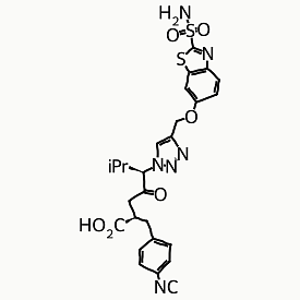 [C-]#[N+]c1ccc(C[C@H](CC(=O)[C@@H](C(C)C)n2cc(COc3ccc4nc(S(N)(=O)=O)sc4c3)nn2)C(=O)O)cc1